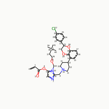 C=CC(=O)Oc1cnc(CN2CCC(c3cccc4c3OCC(c3ccc(Cl)cc3)O4)CC2)n1COCC[Si](C)(C)C